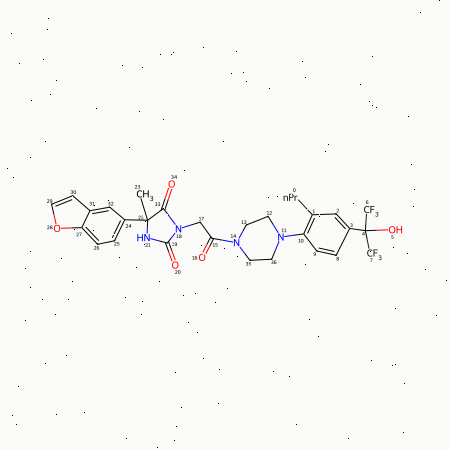 CCCc1cc(C(O)(C(F)(F)F)C(F)(F)F)ccc1N1CCN(C(=O)CN2C(=O)NC(C)(c3ccc4occc4c3)C2=O)CC1